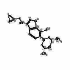 C[C@@H]1CN(c2[c]cc3c(NCC4CC4)noc3c2F)C[C@H](C)O1